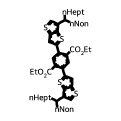 CCCCCCCCCC(CCCCCCC)c1csc2cc(-c3cc(C(=O)OCC)c(-c4cc5scc(C(CCCCCCC)CCCCCCCCC)c5s4)cc3C(=O)OCC)sc12